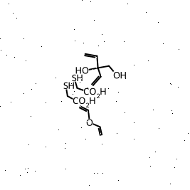 C=CC(O)(C=C)CO.C=COC=C.O=C(O)CS.O=C(O)CS